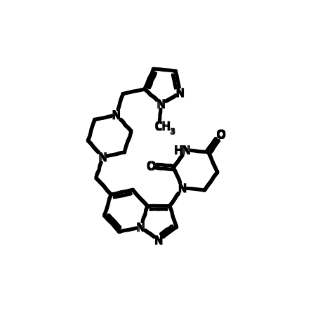 Cn1nccc1CN1CCN(Cc2ccn3ncc(N4CCC(=O)NC4=O)c3c2)CC1